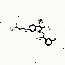 Br.Br.CNCCOc1ccc(CC(C)NCC(O)c2cccc(F)c2)cc1